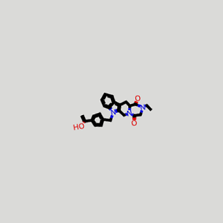 C=C(O)c1ccc(Cn2c3c(c4ccccc42)CC2C(=O)N(CC)CC(=O)N2C3)cc1